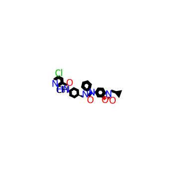 Cc1ncc(Cl)cc1C(=O)N[C@H]1CC[C@H](Cn2c(=O)n(-c3ccc4c(c3)oc(=O)n4CC3CC3)c3ccccc32)CC1